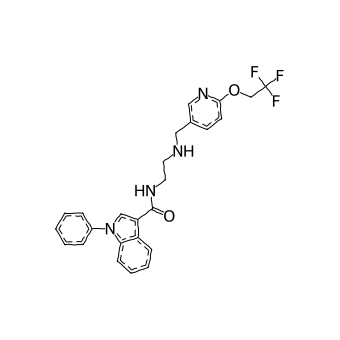 O=C(NCCNCc1ccc(OCC(F)(F)F)nc1)c1cn(-c2ccccc2)c2ccccc12